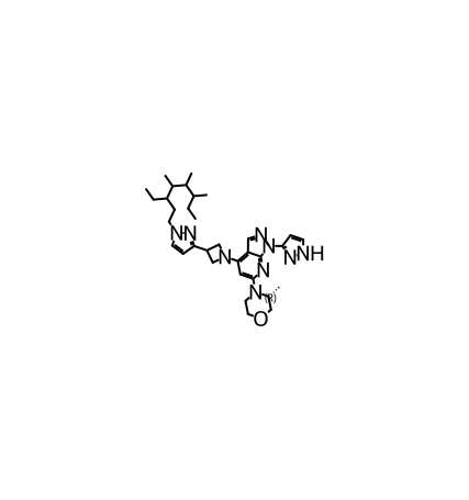 CCC(C)C(C)C(C)C(CC)CCn1ccc(C2CN(c3cc(N4CCOC[C@H]4C)nc4c3cnn4-c3cc[nH]n3)C2)n1